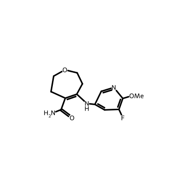 COc1ncc(NC2=C(C(N)=O)CCOCC2)cc1F